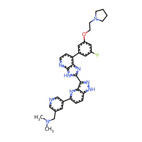 CN(C)Cc1cncc(-c2ccc3[nH]nc(-c4nc5c(-c6cc(F)cc(OCCN7CCCC7)c6)ccnc5[nH]4)c3n2)c1